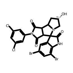 O=C1C2C3C[C@H](O)CN3C3(C(=O)Nc4c(Br)cc(Br)cc43)C2C(=O)N1c1cc(Cl)cc(Cl)c1